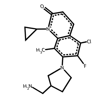 Cc1c(N2CCC(CN)C2)c(F)c(Cl)c2ccc(=O)n(C3CC3)c12